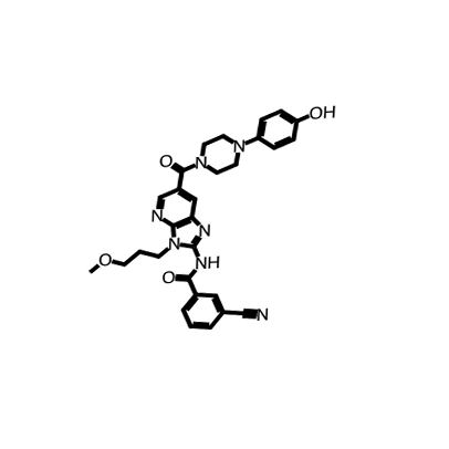 COCCCn1c(NC(=O)c2cccc(C#N)c2)nc2cc(C(=O)N3CCN(c4ccc(O)cc4)CC3)cnc21